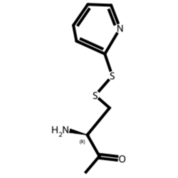 CC(=O)[C@@H](N)CSSc1ccccn1